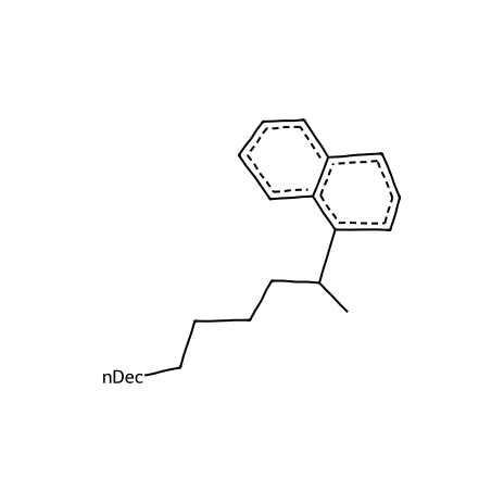 CCCCCCCCCCCCCCC(C)c1cccc2ccccc12